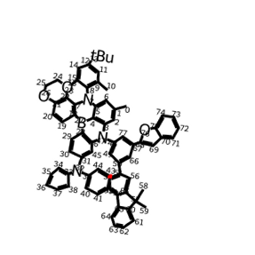 Cc1cc2c3c(c1)N(c1c(C)cc(C(C)(C)C)cc1C)c1c(ccc4c1OCCO4)B3c1ccc(N(c3ccccc3)c3ccccc3)cc1N2c1cc(-c2ccc3c(c2)C(C)(C)c2ccccc2-3)cc(-c2cc3ccccc3o2)c1